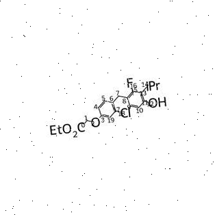 CCOC(=O)COc1ccc(Cc2ccc(O)c(C(C)C)c2F)c(Cl)c1